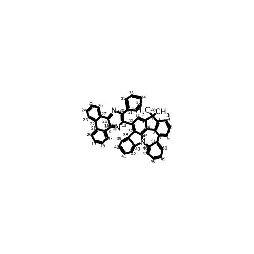 CC1(C)c2cccc3c2-c2c1cc(-c1nc4c5ccccc5c5ccccc5c4nc1-c1ccccc1)c1c4ccccc4n(c21)-c1ccccc1-3